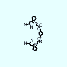 N#CC(C#N)=Cc1cn(CCC(=O)OCc2ccc(COC(=O)CCn3cc(C=C(C#N)C#N)c4ccccc43)cc2)c2ccccc12